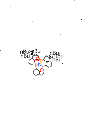 CCCC[Si](CCCC)(CCCC)c1ccc(P(c2ccc([Si](CCCC)(CCCC)CCCC)cc2)N(Cc2ccccc2)P(c2cccc3ccoc23)c2cccc3ccoc23)cc1